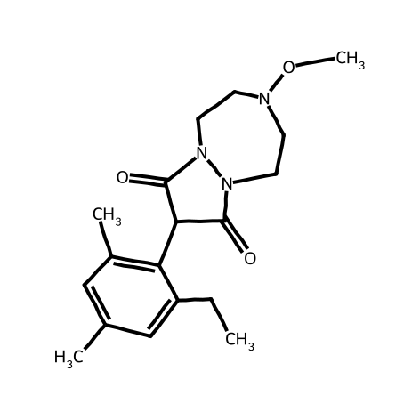 CCc1cc(C)cc(C)c1C1C(=O)N2CCN(OC)CCN2C1=O